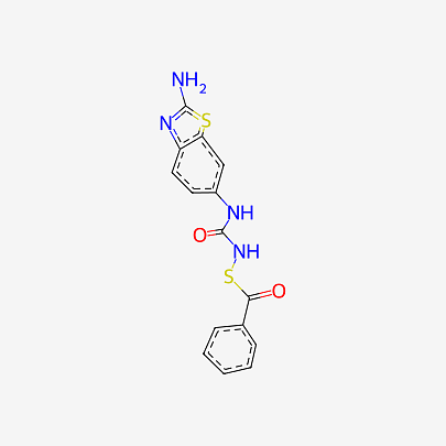 Nc1nc2ccc(NC(=O)NSC(=O)c3ccccc3)cc2s1